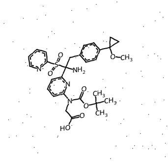 COC1(c2ccc(CC(N)(c3cccc(N(CC(=O)O)C(=O)OC(C)(C)C)n3)S(=O)(=O)c3ccccn3)cc2)CC1